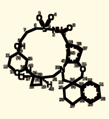 O=C1NS(=O)(=O)CCC[C@]2(O)CCO[C@@H](C2)[C@@]2(Cl)CC[C@@H]2CN2C[C@@]3(CCCc4ccccc43)COc3ccc1cc32